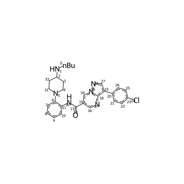 CCCCNC1CCN(c2ccccc2NC(=O)c2cnc3c(-c4ccc(Cl)cc4)cnn3c2)CC1